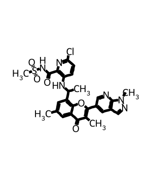 Cc1cc(C(C)Nc2ccc(Cl)nc2C(=O)NS(C)(=O)=O)c2oc(-c3cnc4c(cnn4C)c3)c(C)c(=O)c2c1